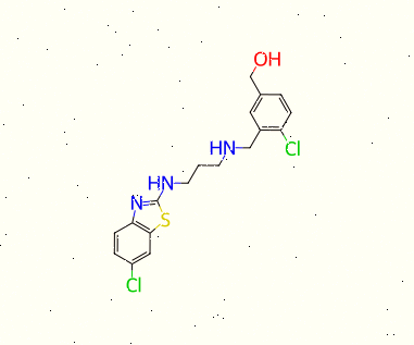 OCc1ccc(Cl)c(CNCCCNc2nc3ccc(Cl)cc3s2)c1